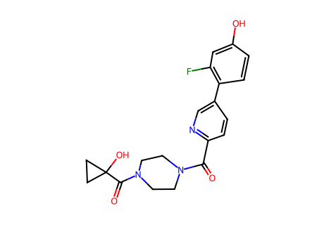 O=C(c1ccc(-c2ccc(O)cc2F)cn1)N1CCN(C(=O)C2(O)CC2)CC1